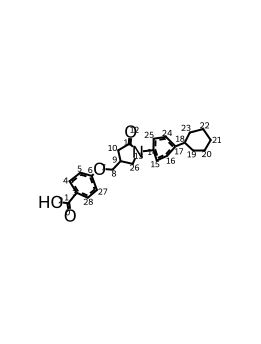 O=C(O)c1ccc(OCC2CC(=O)N(c3ccc(C4CCCCC4)cc3)C2)cc1